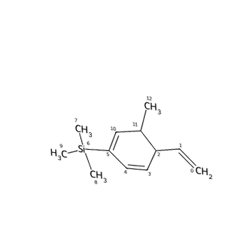 C=CC1C=CC([Si](C)(C)C)=CC1C